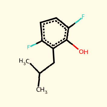 CC(C)Cc1c(F)ccc(F)c1O